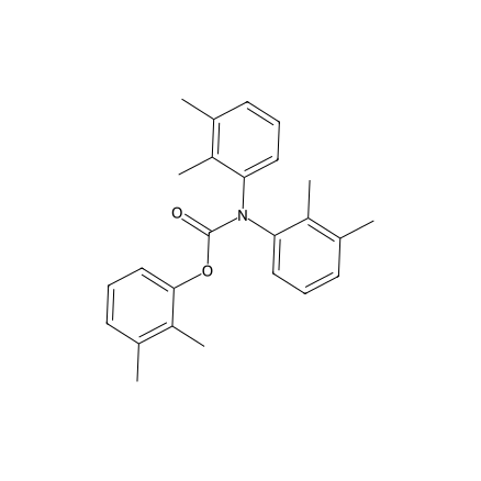 Cc1cccc(OC(=O)N(c2cccc(C)c2C)c2cccc(C)c2C)c1C